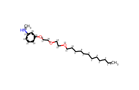 CCCCCCCCCCCCOCCOCCOc1cccc(NC)c1